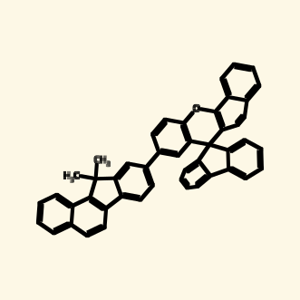 CC1(C)c2cc(-c3ccc4c(c3)C3(c5ccccc5-c5ccccc53)c3ccc5ccccc5c3O4)ccc2-c2ccc3ccccc3c21